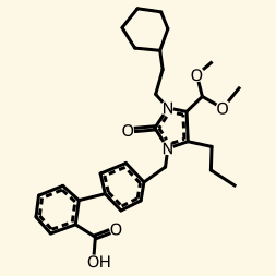 CCCc1c(C(OC)OC)n(CCC2CCCCC2)c(=O)n1Cc1ccc(-c2ccccc2C(=O)O)cc1